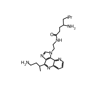 CC(C)CC(N)CCC(=O)NCCn1cnc2c(C(C)CCN)nc3cccnc3c21